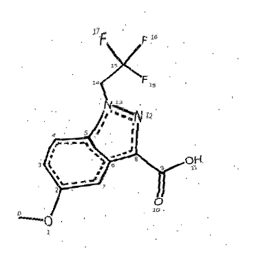 COc1ccc2c(c1)c(C(=O)O)nn2CC(F)(F)F